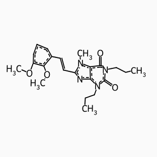 CCCn1c(=O)c2c(nc(/C=C/c3cccc(OC)c3OC)n2C)n(CCC)c1=O